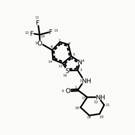 O=C(Nc1nc2ccc(OC(F)(F)F)cc2s1)C1CCCCN1